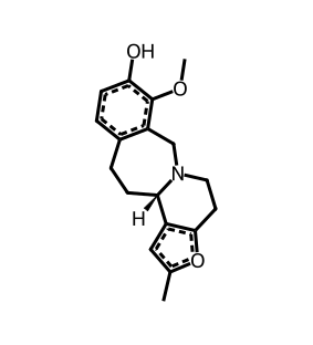 COc1c(O)ccc2c1CN1CCc3oc(C)cc3[C@@H]1CC2